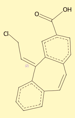 O=C(O)c1ccc2c(c1)/C(=C\CCl)c1ccccc1C=C2